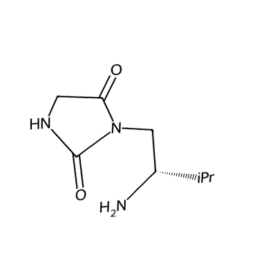 CC(C)[C@H](N)CN1C(=O)CNC1=O